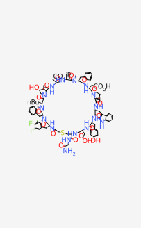 CCCC[C@H]1C(=O)N2C[C@H](O)C[C@@H]2C(=O)N[C@@H](CC(=O)O)C(=O)N[C@@H](C(C)C)C(=O)N(C)[C@@H](Cc2ccccc2)C(=O)N[C@@H](CC(=O)O)C(=O)N2CCC[C@@H]2C(=O)N[C@@H](Cc2c[nH]c3ccccc23)C(=O)N[C@@H](Cc2ccc(O)cc2)C(=O)N[C@@H](CCO)C(=O)N[C@H](C(=O)NCC(N)=O)CSCC(=O)N[C@@H](Cc2cc(F)c(F)c(F)c2)C(=O)N(C)C(Cc2ccccc2)C(=O)N1C